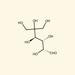 O=C[C@H](O)[C@@H](O)[C@@H](O)C(O)(CO)CO